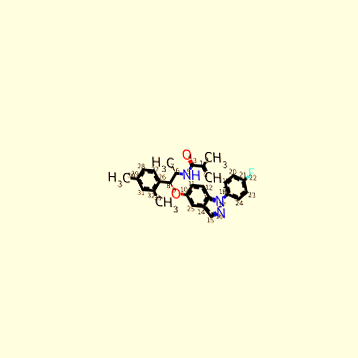 C=C(C)C(=O)N[C@@H](C)[C@H](Oc1ccc2c(cnn2-c2ccc(F)cc2)c1)c1ccc(C)cc1C